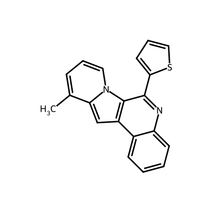 Cc1cccn2c1cc1c3ccccc3nc(-c3cccs3)c12